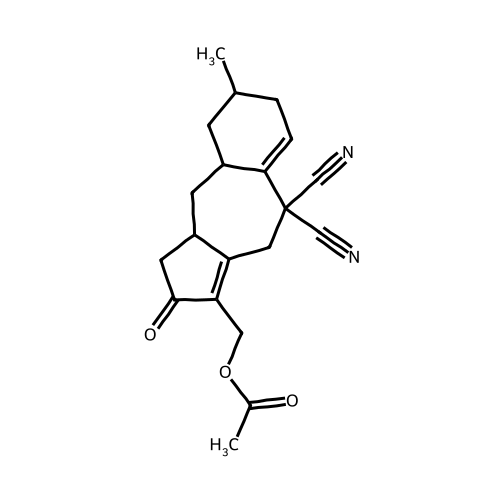 CC(=O)OCC1=C2CC(C#N)(C#N)C3=CCC(C)CC3CC2CC1=O